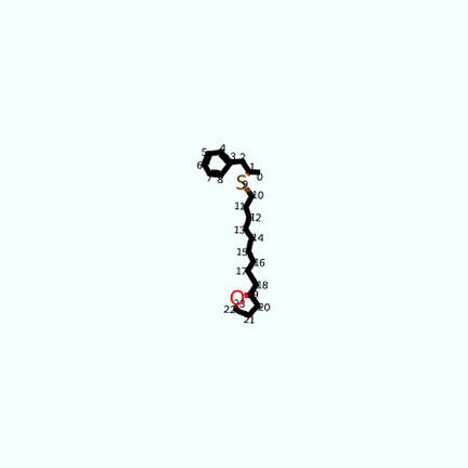 CC(Cc1ccccc1)SCCCCCCCCCC1CCCO1